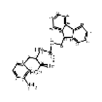 Nc1cccc(CC(NC(=O)OCC2c3ccccc3-c3ccccc32)C(=O)O)c1